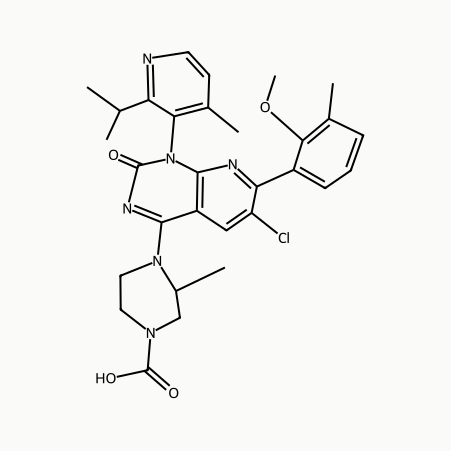 COc1c(C)cccc1-c1nc2c(cc1Cl)c(N1CCN(C(=O)O)CC1C)nc(=O)n2-c1c(C)ccnc1C(C)C